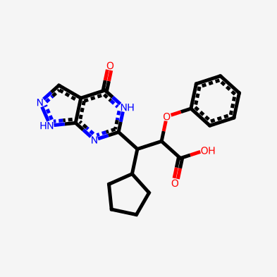 O=C(O)C(Oc1ccccc1)C(c1nc2[nH]ncc2c(=O)[nH]1)C1CCCC1